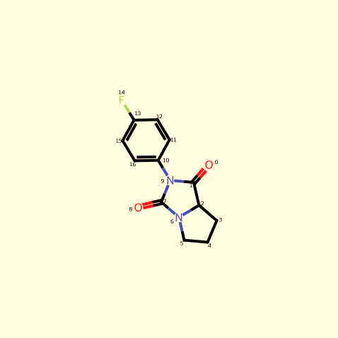 O=C1C2CCCN2C(=O)N1c1ccc(F)cc1